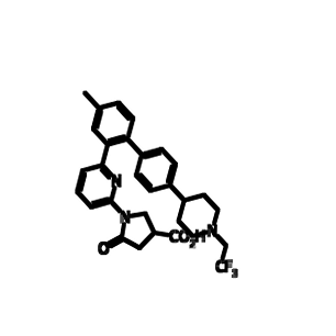 Cc1ccc(-c2ccc(C3CCN(CC(F)(F)F)CC3)cc2)c(-c2cccc(N3CC(C(=O)O)CC3=O)n2)c1